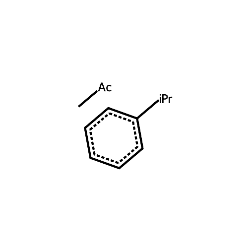 CC(C)=O.CC(C)c1ccccc1